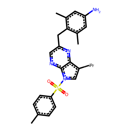 Cc1ccc(S(=O)(=O)n2cc(C(C)C)c3nc(Cc4c(C)cc(N)cc4C)cnc32)cc1